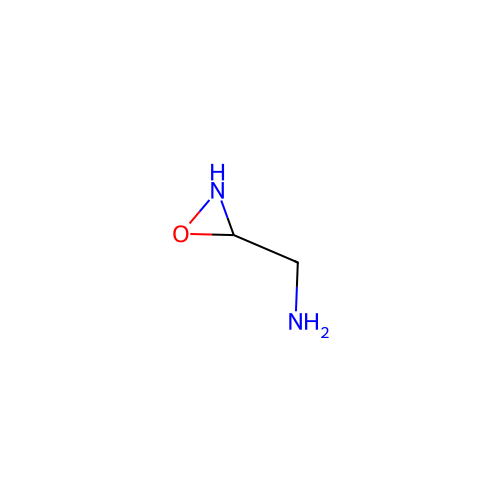 NCC1NO1